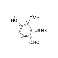 CCCCCCc1c(C=O)ccc(O)c1OC